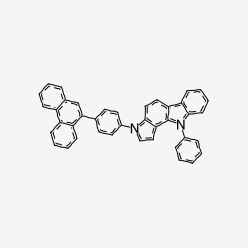 c1ccc(-n2c3ccccc3c3ccc4c(ccn4-c4ccc(-c5cc6ccccc6c6ccccc56)cc4)c32)cc1